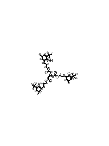 Cc1cc(CCCOC(=O)CN(CC(=O)OCCCc2cc(C)cc(C(C)(C)C)c2O)CC(=O)OCCCc2cc(C)cc(C(C)(C)C)c2O)c(O)c(C(C)(C)C)c1